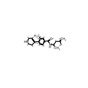 C=C(F)CC(C)NC(=O)c1ccc(C2=CCNCC2)c(C)c1